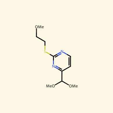 COCCSc1nccc(C(OC)OC)n1